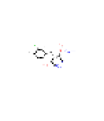 COc1cc(Cl)c(Cl)cc1Cc1ccncc1C(N)=O